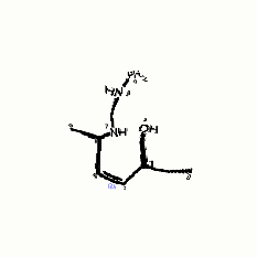 CC(O)/C=C\C(C)NNP